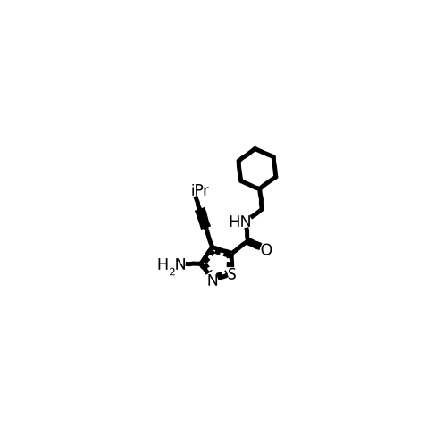 CC(C)C#Cc1c(N)nsc1C(=O)NCC1CCCCC1